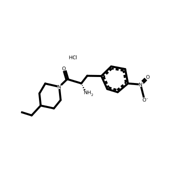 CCC1CCN(C(=O)[C@@H](N)Cc2ccc([N+](=O)[O-])cc2)CC1.Cl